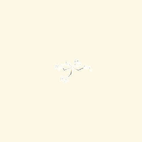 CC[P](C)([Au])(CC)CC